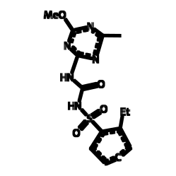 CCc1ccccc1S(=O)(=O)NC(=O)Nc1nc(C)nc(OC)n1